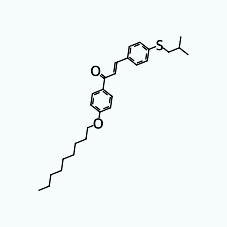 CCCCCCCCCOc1ccc(C(=O)C=Cc2ccc(SCC(C)C)cc2)cc1